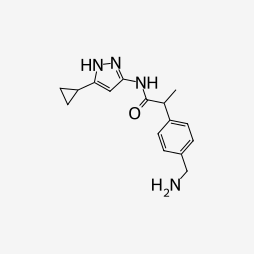 CC(C(=O)Nc1cc(C2CC2)[nH]n1)c1ccc(CN)cc1